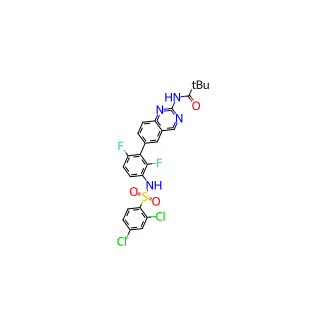 CC(C)(C)C(=O)Nc1ncc2cc(-c3c(F)ccc(NS(=O)(=O)c4ccc(Cl)cc4Cl)c3F)ccc2n1